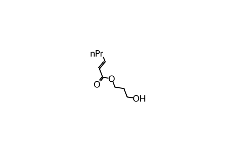 CCCC=CC(=O)OCCCO